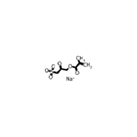 C=C(C)C(=O)OCC(=O)CS(=O)(=O)[O-].[Na+]